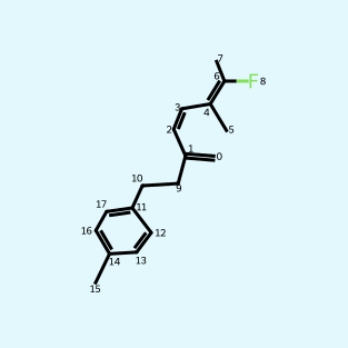 C=C(/C=C\C(C)=C(/C)F)CCc1ccc(C)cc1